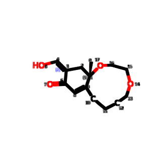 C[C@]12C/C(=C/O)C(=O)C=C1CCCCOCCO2